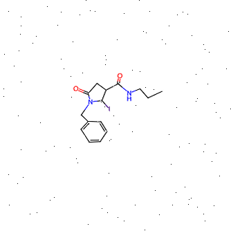 CCCNC(=O)C1CC(=O)N(Cc2ccccc2)C1I